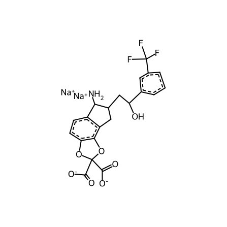 NC1c2ccc3c(c2CC1CC(O)c1cccc(C(F)(F)F)c1)OC(C(=O)[O-])(C(=O)[O-])O3.[Na+].[Na+]